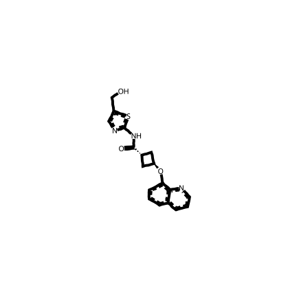 O=C(Nc1ncc(CO)s1)[C@H]1C[C@H](Oc2cccc3cccnc23)C1